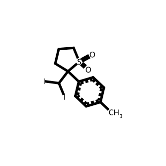 Cc1ccc(C2(C(I)I)CCCS2(=O)=O)cc1